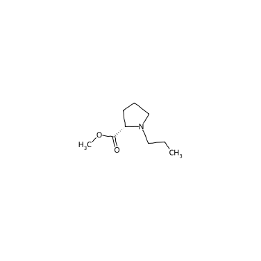 CCCN1CCC[C@H]1C(=O)OC